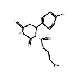 O=C1CC(c2ccc(F)cc2)[C@H](C(=O)OCCO)C(=O)N1